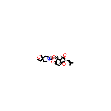 CO[C@H]1C([C@@]2(C)O[C@@H]2CC=C(C)C)[C@]2(CC[C@H]1OC(=O)N1CCC3(CCOC3)CC1)CO2